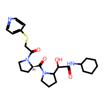 O=C(NC1CCCCC1)C(O)C1CCCN1C(=O)[C@H]1CCCN1C(=O)CSc1ccncc1